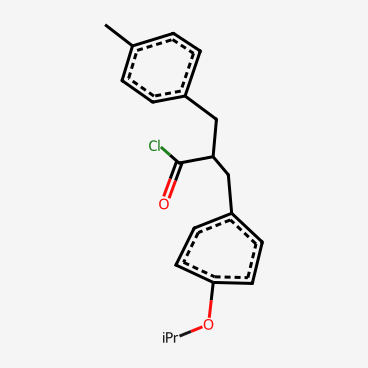 Cc1ccc(CC(Cc2ccc(OC(C)C)cc2)C(=O)Cl)cc1